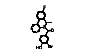 C[C@@H]1c2cc(F)ccc2-c2ccccc2N1C(=O)c1ccc(O)c(Br)c1